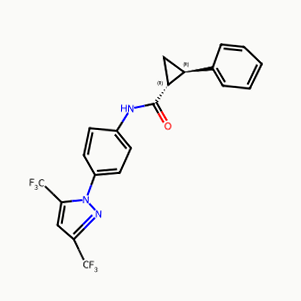 O=C(Nc1ccc(-n2nc(C(F)(F)F)cc2C(F)(F)F)cc1)[C@@H]1C[C@H]1c1ccccc1